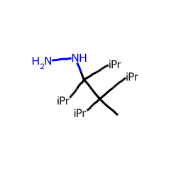 CC(C)C(C)(C(C)C)C(NN)(C(C)C)C(C)C